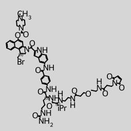 CC(C)[C@H](NCCNC(=O)CCOCCNC(=O)CCN1C(=O)C=CC1=O)C(=O)N[C@@H](CCCNC(N)=O)C(=O)Nc1ccc(C(=O)Nc2ccc3[nH]c(C(=O)N4C[C@@H](CBr)c5c4cc(OC(=O)N4CCN(C)CC4)c4ccccc54)cc3c2)cc1